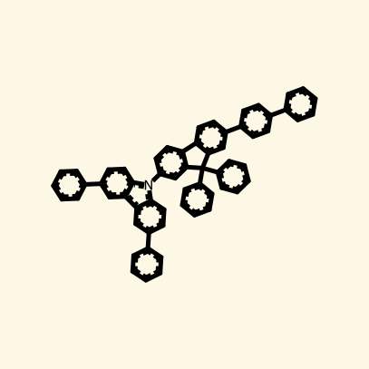 c1ccc(-c2ccc(-c3ccc4c(c3)C(c3ccccc3)(c3ccccc3)c3cc(-n5c6ccc(-c7ccccc7)cc6c6cc(-c7ccccc7)ccc65)ccc3-4)cc2)cc1